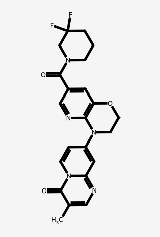 Cc1cnc2cc(N3CCOc4cc(C(=O)N5CCCC(F)(F)C5)cnc43)ccn2c1=O